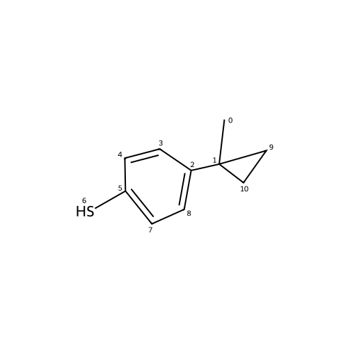 CC1(c2ccc(S)cc2)CC1